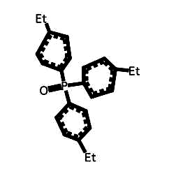 CCc1ccc(P(=O)(c2ccc(CC)cc2)c2ccc(CC)cc2)cc1